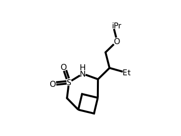 CCC(COC(C)C)C1NS(=O)(=O)CC2CC1C2